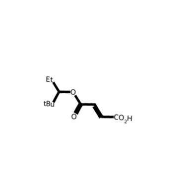 CCC(OC(=O)C=CC(=O)O)C(C)(C)C